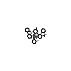 Cc1cc(-c2c(Nc3ccccc3C)ccc3c2-c2ccccc2C3(C)C)c2c(c1)-n1c3ccccc3c3cccc(c31)B2